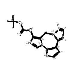 CC(C)(C)OC(=O)Oc1ncn2c1Cn1ncnc1-c1ccsc1-2